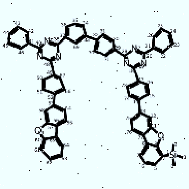 C[Si](C)(C)c1cccc2c1oc1cc(-c3ccc(-c4nc(-c5ccccc5)nc(-c5ccc(-c6cccc(-c7nc(-c8ccccc8)nc(-c8ccc(-c9ccc%10c(c9)oc9ccccc9%10)cc8)n7)c6)cc5)n4)cc3)ccc12